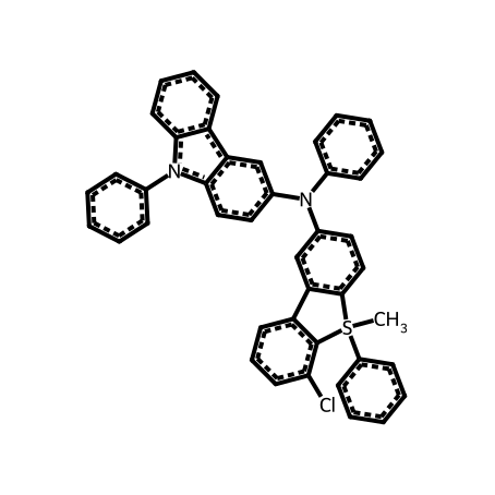 CS1(c2ccccc2)c2ccc(N(c3ccccc3)c3ccc4c(c3)c3ccccc3n4-c3ccccc3)cc2-c2cccc(Cl)c21